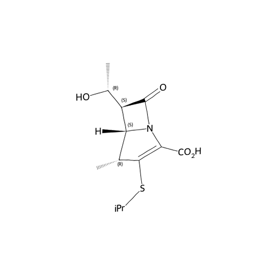 CC(C)SC1=C(C(=O)O)N2C(=O)[C@H]([C@@H](C)O)[C@H]2[C@H]1C